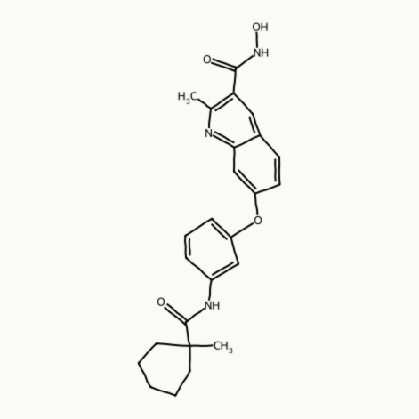 Cc1nc2cc(Oc3cccc(NC(=O)C4(C)CCCCC4)c3)ccc2cc1C(=O)NO